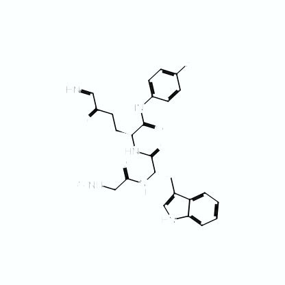 CC(=O)NCC(=O)N[C@@H](Cc1c[nH]c2ccccc12)C(=O)N[C@@H](CCC(=O)C=N)C(=O)Nc1ccc(F)cc1